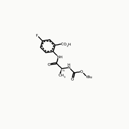 C[C@H](NC(=O)OC(C)(C)C)C(=O)Nc1ccc(F)cc1C(=O)O